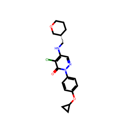 O=c1c(Cl)c(NC[C@H]2CCCOC2)cnn1-c1ccc(OC2CC2)cc1